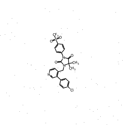 CC1(C)C(=O)N(c2ccc(S(=O)(=O)C(F)(F)F)cc2)C(=O)N1Cc1ccncc1-c1ccc(Cl)cc1